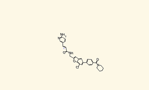 Nc1ccc(/C=C/C(=O)NCc2cc3cc(-c4ccc(C(=O)N5CCCCC5)cc4)cc(Cl)c3o2)cn1